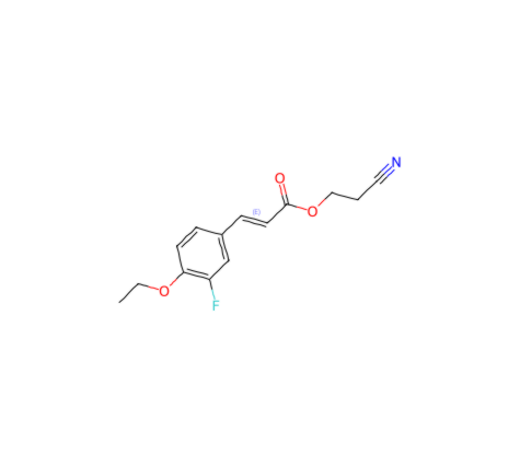 CCOc1ccc(/C=C/C(=O)OCCC#N)cc1F